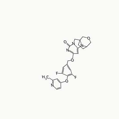 Cc1cc(Oc2c(F)cc(COc3cc4n(c(=O)n3)CC35CCC(COC3)N45)cc2F)ccn1